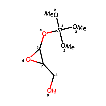 CO[Si](OC)(OC)OC1OC1CO